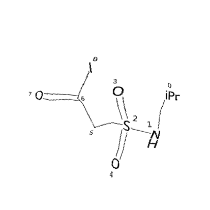 CC(C)NS(=O)(=O)CC(=O)I